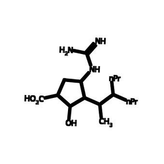 CCCC(CCC)C(C)C1C(NC(=N)N)CC(C(=O)O)C1O